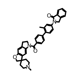 Cc1cc(N2Cc3ccccc3C2=O)ccc1-c1ccc(C(=O)N2CCc3cc4c(cc32)C2(CCN(C)CC2)CO4)cc1